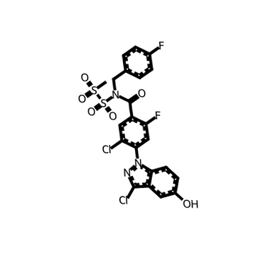 CS(=O)(=O)S(=O)(=O)N(Cc1ccc(F)cc1)C(=O)c1cc(Cl)c(-n2nc(Cl)c3cc(O)ccc32)cc1F